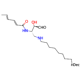 C/C=C/C=C/C(=O)N[C@@H](CNCCCCCCCCCCCCCCCCCC)[C@@H](O)C=O